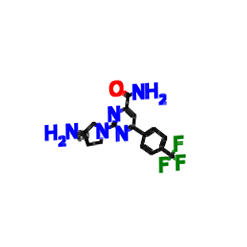 NC(=O)c1cc(-c2ccc(C(F)(F)F)cc2)nc(N2CC[C@H](N)C2)n1